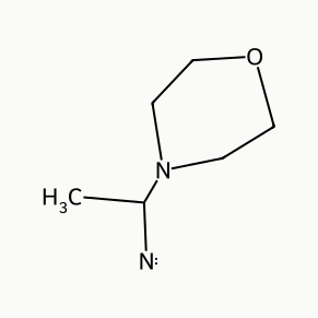 CC([N])N1CCOCC1